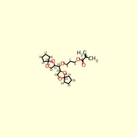 C=C(C)C(=O)OCCCOC(C1COC2(CCCC2)O1)C1COC2(CCCC2)O1